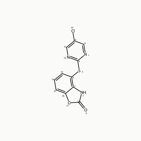 O=c1[nH]c2c(Sc3ncc(Cl)cn3)cccc2o1